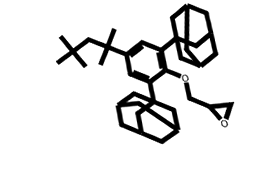 CC(C)(C)CC(C)(C)c1cc(C23CC4CC(CC(C4)C2)C3)c(OCC2CO2)c(C23CC4CC(CC(C4)C2)C3)c1